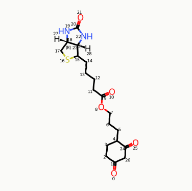 O=C1CCC(CCCOC(=O)CCCCC2SC[C@@H]3NC(=O)N[C@H]23)C(=O)C1